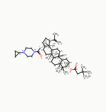 C=C(C)[C@@H]1CC[C@]2(CC(=O)N3CCN(C4CC4)CC3)CC[C@]3(C)[C@H](CC[C@@H]4[C@@]5(C)CC[C@H](OC(=O)CC(C)(C)C(=O)O)C(C)(C)[C@@H]5CC[C@]43C)[C@@H]12